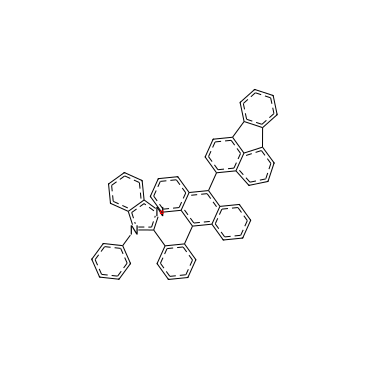 c1ccc(-n2c(-c3ccccc3-c3c4ccccc4c(-c4ccc5c6c(cccc46)-c4ccccc4-5)c4ccccc34)nc3ccccc32)cc1